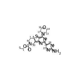 CCOC(=O)N1CCc2sc3c(N4CCOCC4)nc(-c4cnc(N)nc4)nc3c2C1